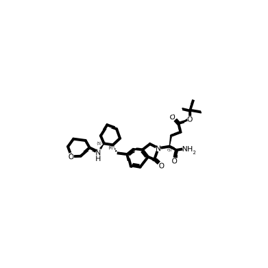 CC(C)(C)OC(=O)CC[C@@H](C(N)=O)N1Cc2cc(C[C@H]3CCCC[C@@H]3NC3CCCOC3)ccc2C1=O